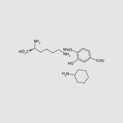 COc1ccc(C=O)cc1O.NC1CCCCC1.NCCCC[C@H](N)C(=O)O